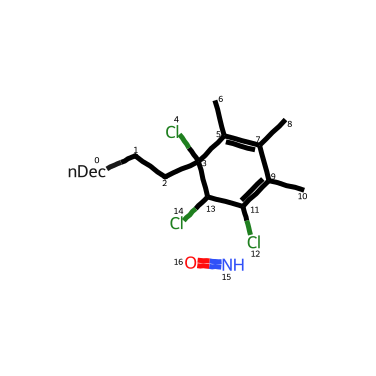 CCCCCCCCCCCCC1(Cl)C(C)=C(C)C(C)=C(Cl)C1Cl.N=O